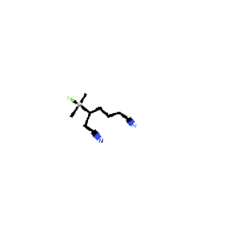 C[Si](C)(F)C(CC#N)CCCC#N